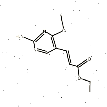 CCOC(=O)/C=C/c1cnc(N)nc1OC